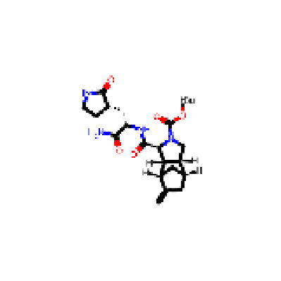 C=C1C[C@@H]2C[C@H]1[C@H]1[C@@H]2CN(C(=O)OC(C)(C)C)[C@@H]1C(=O)N[C@@H](C[C@@H]1CCNC1=O)C(N)=O